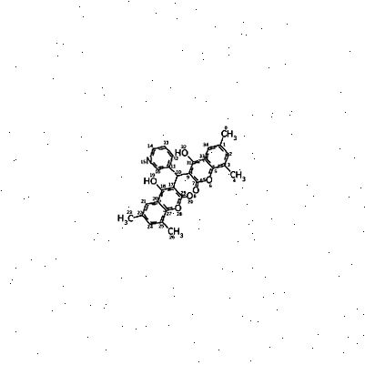 Cc1cc(C)c2oc(=O)c(C(c3cccnc3)c3c(O)c4cc(C)cc(C)c4oc3=O)c(O)c2c1